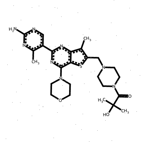 Cc1nc(N)ncc1-c1nc(N2CCOCC2)c2sc(CN3CCN(C(=O)C(C)(C)O)CC3)c(C)c2n1